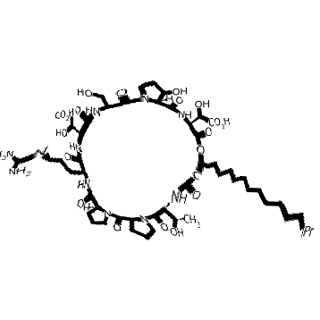 CC(C)CCCCCCCCCCCC1CC(=O)N[C@H]([C@H](C)O)C(=O)N2CCCC2C(=O)N2CCC[C@H]2C(=O)NC(CCCN=C(N)N)C(=O)N[C@@H](C(O)C(=O)O)C(=O)NC(CO)C(=O)N2CCC(O)[C@H]2C(=O)N[C@@H](C(O)C(=O)O)C(=O)O1